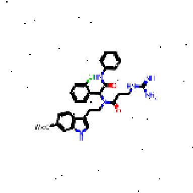 COc1ccc2c(CCN(C(=O)CCNC(=N)N)C(C(=O)Nc3ccccc3)c3ccccc3Cl)c[nH]c2c1